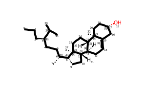 CCC[C@H](CC[C@@H](C)[C@H]1CC[C@H]2[C@@H]3CC=C4C[C@@H](O)CC[C@]4(C)[C@H]3CC[C@]12C)C(C)C